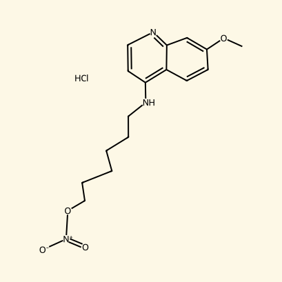 COc1ccc2c(NCCCCCCO[N+](=O)[O-])ccnc2c1.Cl